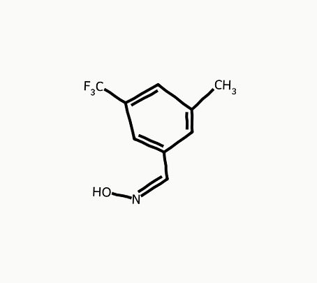 Cc1cc(/C=N\O)cc(C(F)(F)F)c1